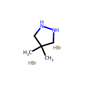 Br.Br.CC1(C)CNNC1